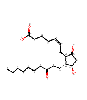 CCCCCCCC(=O)CC[C@H]1[C@H](O)CC(=O)[C@@H]1C/C=C\CCCC(=O)O